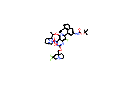 C#Cc1cccc2cc(NC(=O)OC(C)(C)C)cc(-c3nc4c5c(nc(OCC67CCCN6CC(F)(F)C7)nc5c3F)N3CC5CCC(C3C(C)O4)N5C(=O)O)c12